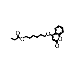 CCC(=O)OCCCCCCOc1cc(=O)oc2ccccc12